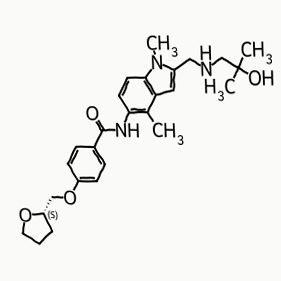 Cc1c(NC(=O)c2ccc(OC[C@@H]3CCCO3)cc2)ccc2c1cc(CNCC(C)(C)O)n2C